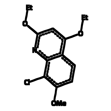 CCOc1cc(OCC)c2ccc(OC)c(Cl)c2n1